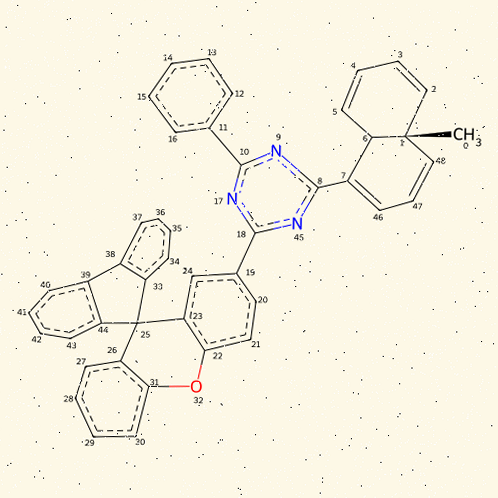 C[C@]12C=CC=CC1C(c1nc(-c3ccccc3)nc(-c3ccc4c(c3)C3(c5ccccc5O4)c4ccccc4-c4ccccc43)n1)=CC=C2